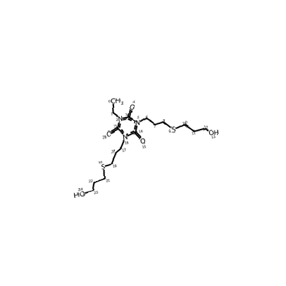 CCn1c(=O)n(CCCSCCCO)c(=O)n(CCCSCCCO)c1=O